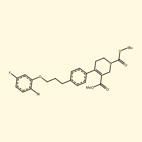 COC(=O)C1=C(c2ccc(CCCOc3cc(F)ccc3Br)cc2)CCN(C(=O)OC(C)(C)C)C1